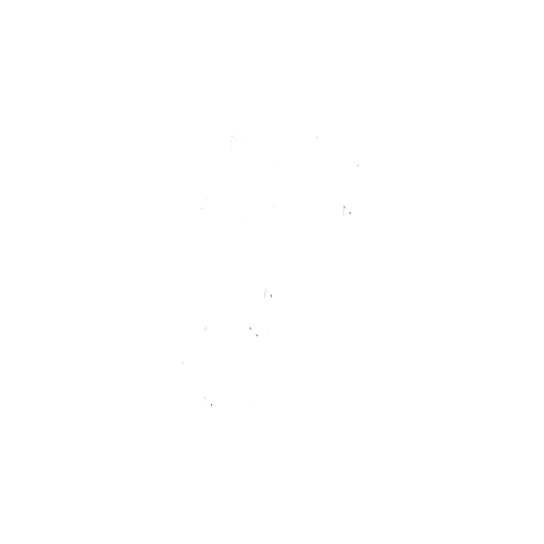 O=C(c1cc2cnccn2n1)c1cnccc1Br